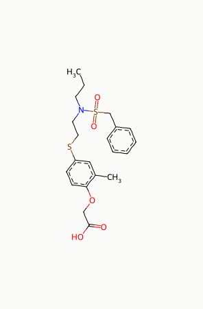 CCCN(CCSc1ccc(OCC(=O)O)c(C)c1)S(=O)(=O)Cc1ccccc1